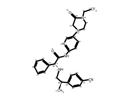 C[C@@H](CN[C@@H](C(=O)Nc1ccc(N2CCN(CC(F)(F)F)C(=O)C2)cn1)c1ccccc1)c1ccc(C#N)cc1